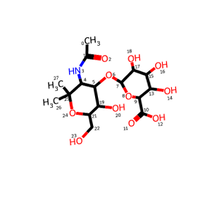 CC(=O)NC1C(OC2OC(C(=O)O)C(O)C(O)C2O)C(O)C(CO)OC1(C)C